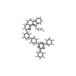 CCn1c2ccccc2c2ccc3ccc(-c4cccc(-c5ccc(-c6nc(-c7ccccc7)nc(-c7ccccc7)n6)cc5)c4)nc3c21